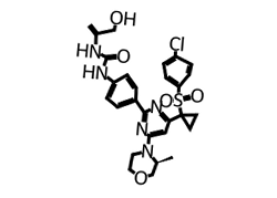 C=C(CO)NC(=O)Nc1ccc(-c2nc(N3CCOC[C@@H]3C)cc(C3(S(=O)(=O)c4ccc(Cl)cc4)CC3)n2)cc1